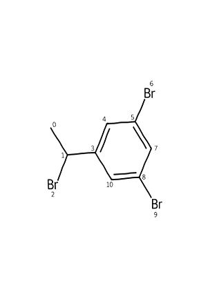 CC(Br)c1cc(Br)cc(Br)c1